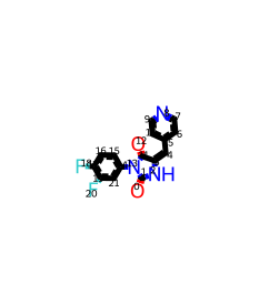 O=C1N/C(=C/c2ccncc2)C(=O)N1c1ccc(F)c(F)c1